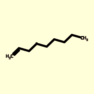 C=CC[C]CCCCC